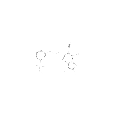 Cc1nn2c(N)c(C#N)c(NCCc3cccc(C(F)(F)CO)n3)nc2c1Cl